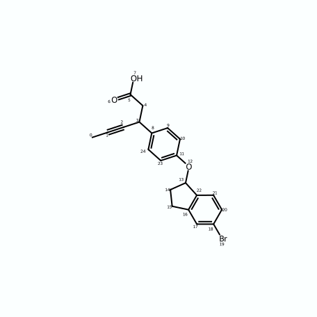 CC#CC(CC(=O)O)c1ccc(OC2CCc3cc(Br)ccc32)cc1